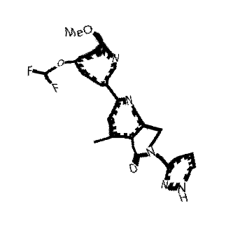 COc1ncc(-c2cc(C)c3c(n2)CN(c2cc[nH]n2)C3=O)cc1OC(F)F